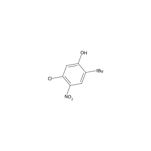 CC(C)(C)c1cc([N+](=O)[O-])c(Cl)cc1O